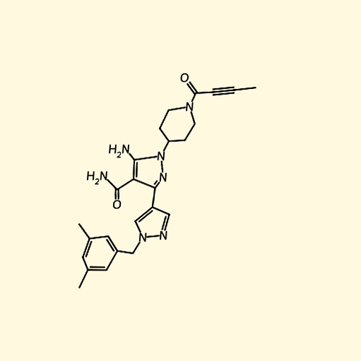 CC#CC(=O)N1CCC(n2nc(-c3cnn(Cc4cc(C)cc(C)c4)c3)c(C(N)=O)c2N)CC1